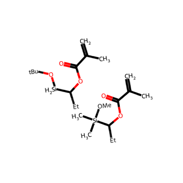 C=C(C)C(=O)OC(CC)[SiH2]OC(C)(C)C.C=C(C)C(=O)OC(CC)[Si](C)(C)OC